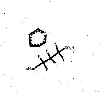 CCCCCCCCCC(F)(F)C(F)(F)C(F)(F)S(=O)(=O)O.c1ccncc1